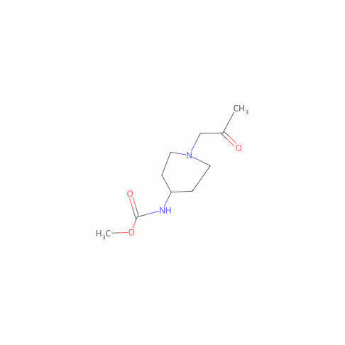 COC(=O)NC1CCN(CC(C)=O)CC1